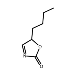 CCCCC1C=NC(=O)O1